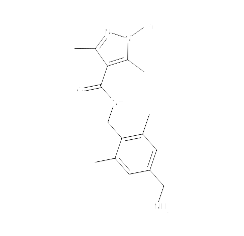 Cc1cc(CN)cc(C)c1CNC(=O)c1c(C)nn(C(C)C)c1C